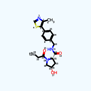 Cc1ncsc1-c1ccc(CNC(=O)[C@@H]2C[C@H](O)CN2C(=O)CC(C)(C)C)cc1